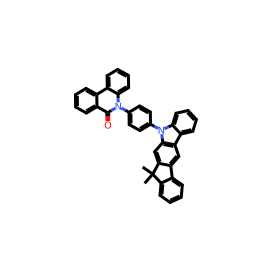 CC1(C)c2ccccc2-c2cc3c4ccccc4n(-c4ccc(-n5c(=O)c6ccccc6c6ccccc65)cc4)c3cc21